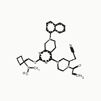 C=CC(=O)N1CCN(c2nc(OCC3(N(C)C)CCC3)nc3c2CCN(c2cccc4ccccc24)C3)CC1CC#N